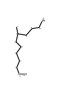 CCCCCCCCCCCCC(C)CCCC(C)C